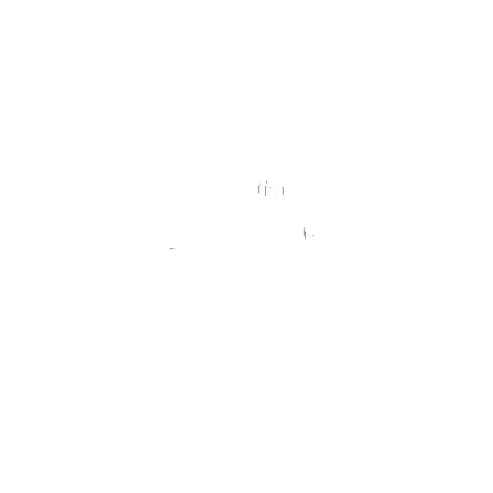 CC(C)(C)Br.CCC(C)(C)C